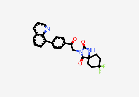 O=C(CN1C(=O)NC2(CCC(F)(F)CC2)C1=O)c1ccc(-c2cccc3cccnc23)cc1